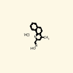 Cc1cc(/C=N/O)nc2c1ccc1ccccc12.Cl